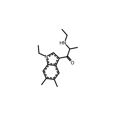 CCNC(C)C(=O)c1cn(CC)c2cc(C)c(C)cc12